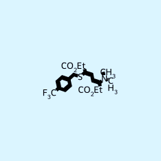 CCOC(=O)/C(=C/C=C(/C(=O)OCC)N(C)C)SCc1ccc(C(F)(F)F)cc1